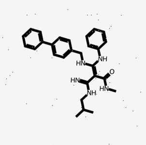 CNC(=O)/C(C(=N)NCC(C)C)=C(/NCc1ccc(-c2ccccc2)cc1)Nc1ccccc1